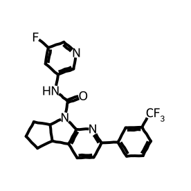 O=C(Nc1cncc(F)c1)N1c2nc(-c3cccc(C(F)(F)F)c3)ccc2C2CCCC21